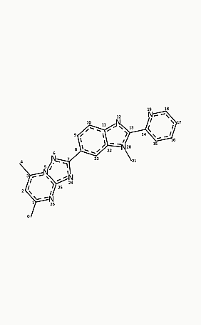 Cc1cc(C)n2nc(-c3ccc4nc(-c5ccccn5)n(C)c4c3)nc2n1